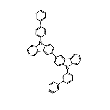 c1ccc(-c2cccc(-n3c4ccccc4c4cc(-c5ccc6c(c5)c5ccccc5n6-c5ccc(C6=CC=CCC6)cc5)ccc43)c2)cc#1